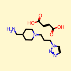 NCC1CCN(CCCn2ccnn2)CC1.O=C(O)C=CC(=O)O